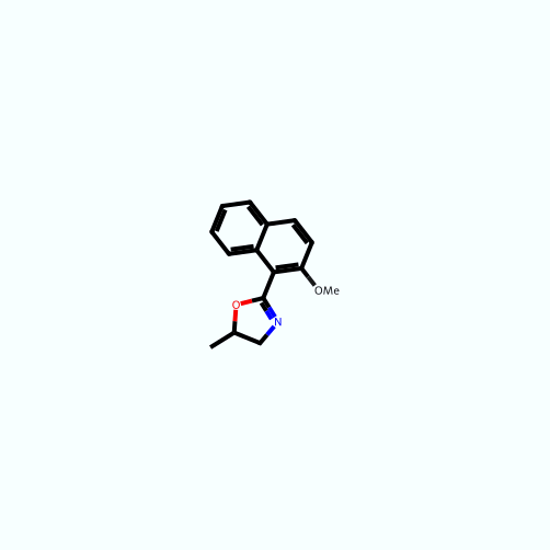 COc1ccc2ccccc2c1C1=NCC(C)O1